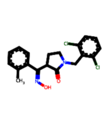 Cc1ccccc1C(=NO)C1CCN(Cc2c(Cl)cccc2Cl)C1=O